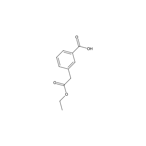 CCOC(=O)Cc1cccc(C(=O)O)c1